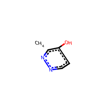 C.Oc1ccnnc1